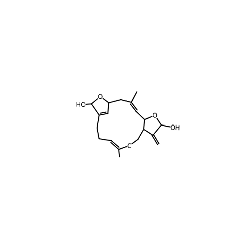 C=C1C(O)OC2/C=C(\C)CC3C=C(CC/C=C(\C)CCC12)C(O)O3